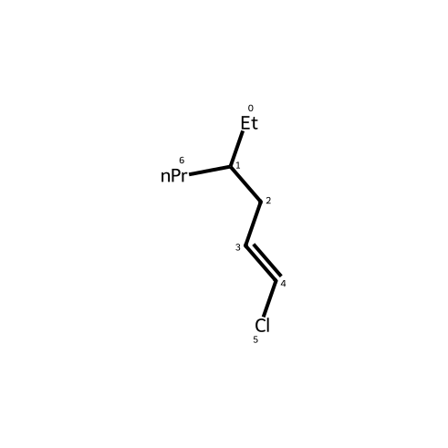 [CH2]CC(CC=CCl)CCC